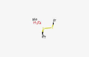 CC(C)SSC(C)C.O.[Mo]